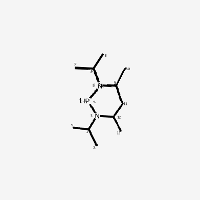 CC(C)N1PN(C(C)C)C(C)CC1C